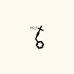 CC(C)(C#CCc1ccccc1)C(=O)O